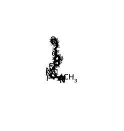 Cn1cc(-c2cc(F)c3nnc(C(F)(F)c4ccc5ncc(OCCCN6CCOCC6)cc5c4)n3c2)cn1